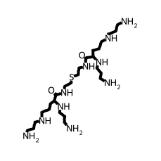 NCCCNCCCC(NCCCN)C(=O)NCCSCCNC(=O)C(CCCNCCCN)NCCCN